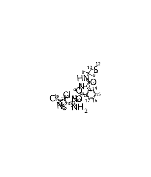 CO/N=C(/C(=O)NC(C)(C)CSC)c1ccccc1CO/N=C(\N)c1snc(Cl)c1Cl